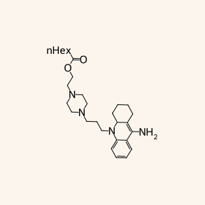 CCCCCCC(=O)OCCN1CCN(CCCN2c3ccccc3C(N)=C3CCCCC32)CC1